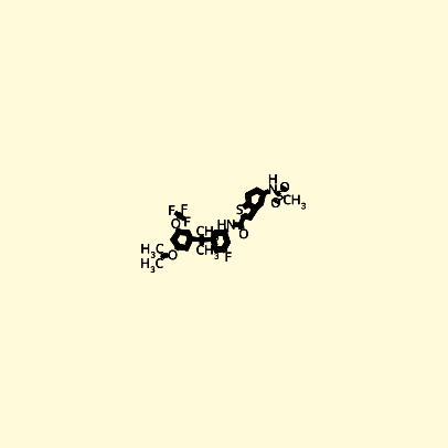 CC(C)Oc1cc(OC(F)(F)F)cc(C(C)(C)c2cc(F)cc(NC(=O)c3cc4cc(NS(C)(=O)=O)ccc4s3)c2)c1